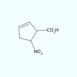 O=C(O)C1C=CCC1[N+](=O)[O-]